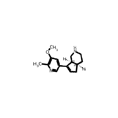 COc1cc(C2=CC[C@@H]3CCNC[C@H]23)cnc1C